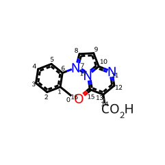 Cc1ccccc1-n1ccc2ncc(C(=O)O)c(=O)n21